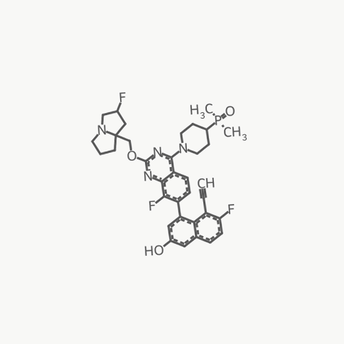 C#Cc1c(F)ccc2cc(O)cc(-c3ccc4c(N5CCC(P(C)(C)=O)CC5)nc(OCC56CCCN5CC(F)C6)nc4c3F)c12